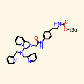 CC(C)(C)OC(=O)NCCc1ccc(NC(=O)CN(CCN(Cc2ccccn2)Cc2ccccn2)Cc2ccccn2)cc1